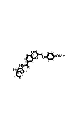 COc1ccc(OC[C@@H]2COc3ccc(C(=O)N[C@@H]4C[C@@H]5CCN(C5)C4)cc3O2)cc1